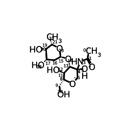 CC(=O)N[C@]1(O)[CH]O[C@H](CO)[C@@H](O)[C@@H]1O[C@H]1C[C@H](O)[C@H](O)[C@H](C)O1